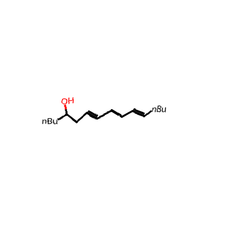 CCCCC=CCCC=CCC(O)CCCC